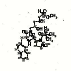 CO[C@H](C)CNCC(O)CNC(=O)[C@@H](Cc1ccc2ccccc2c1)NC(=O)[C@@H]1CCCN1C(=O)C(C)(C)C.Cl